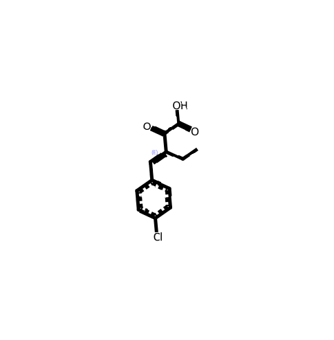 CC/C(=C\c1ccc(Cl)cc1)C(=O)C(=O)O